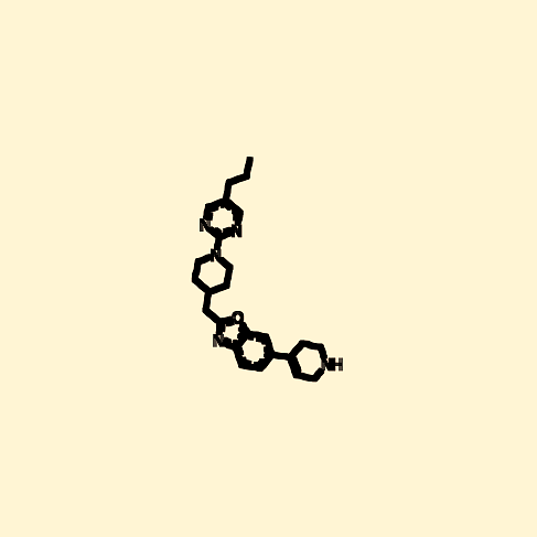 CCCc1cnc(N2CCC(Cc3nc4ccc(C5=CCNCC5)cc4o3)CC2)nc1